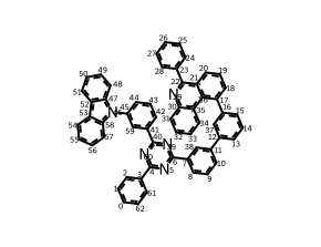 c1ccc(-c2nc(-c3cccc(-c4cccc(-c5cccc6c(-c7ccccc7)nc7ccccc7c56)c4)c3)nc(-c3cccc(-n4c5ccccc5c5ccccc54)c3)n2)cc1